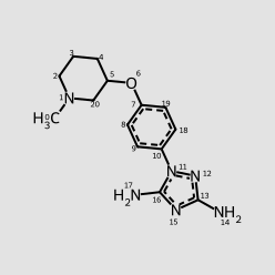 CN1CCCC(Oc2ccc(-n3nc(N)nc3N)cc2)C1